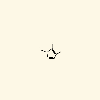 Cn1ncc(F)c1N